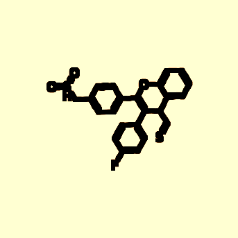 O=[SH](=O)Cc1ccc(C2=C(c3ccc(F)cc3)C(C=S)c3ccccc3O2)cc1